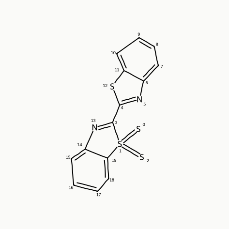 S=S1(=S)C(c2nc3ccccc3s2)=Nc2ccccc21